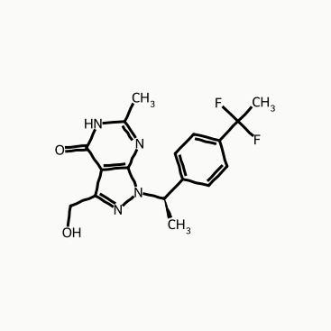 Cc1nc2c(c(CO)nn2[C@H](C)c2ccc(C(C)(F)F)cc2)c(=O)[nH]1